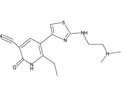 CCc1[nH]c(=O)c(C#N)cc1-c1csc(NCCN(C)C)n1